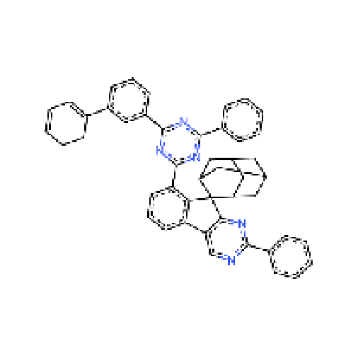 C1=CCCC(c2cccc(-c3nc(-c4ccccc4)nc(-c4cccc5c4C4(c6nc(-c7ccccc7)ncc6-5)C5CC6CC(C5)CC4C6)n3)c2)=C1